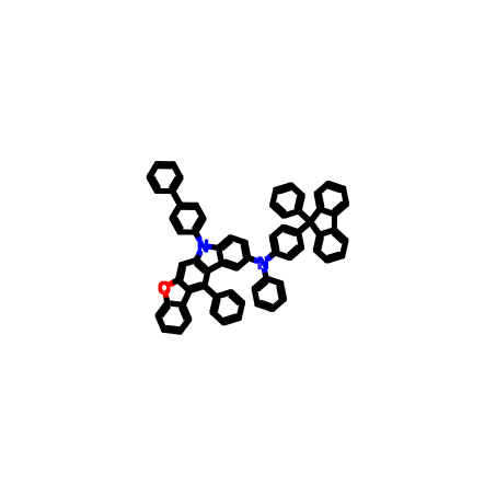 c1ccc(-c2ccc(-n3c4ccc(N(c5ccccc5)c5ccc(C6(c7ccccc7)c7ccccc7-c7ccccc76)cc5)cc4c4c(-c5ccccc5)c5c(cc43)oc3ccccc35)cc2)cc1